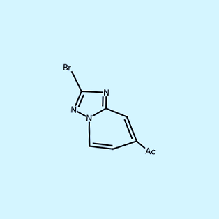 CC(=O)c1ccn2nc(Br)nc2c1